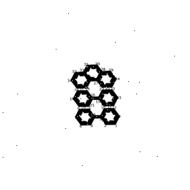 c1ccc(-c2ccccc2)cc1.c1ccc(-c2ccccc2)cc1.c1ccc2c(c1)ccc1ccccc12